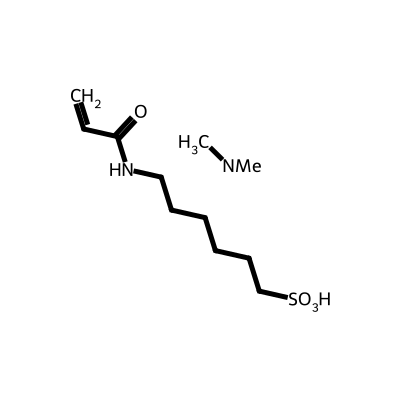 C=CC(=O)NCCCCCCS(=O)(=O)O.CNC